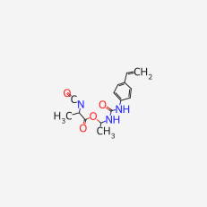 C=Cc1ccc(NC(=O)NC(C)OC(=O)C(C)N=C=O)cc1